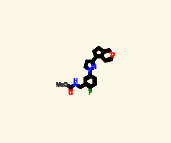 COC(=O)NCc1cc(N2CCC(C3=C4C=COC=C4CC3)=N2)ccc1F